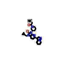 N#CCC(=O)N1CCCC(n2c(=O)n(CC3CC3)c3ccc(-c4cnn5ccccc45)nc32)C1